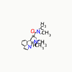 CCN(CC)C(=O)[C@@H]1C=C2c3cccc4ccn(c34)C[C@H]2[N+](C)(C)C1